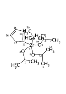 CC(C)[O][Zr]([O]C(C)C)([O]C(C)C)([C]1=CC=CC1)[GeH]([CH3])[CH3]